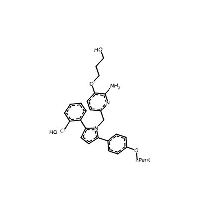 CCCCCOc1ccc(-c2ccc(-c3ccccc3Cl)n2Cc2ccc(OCCCO)c(N)n2)cc1.Cl